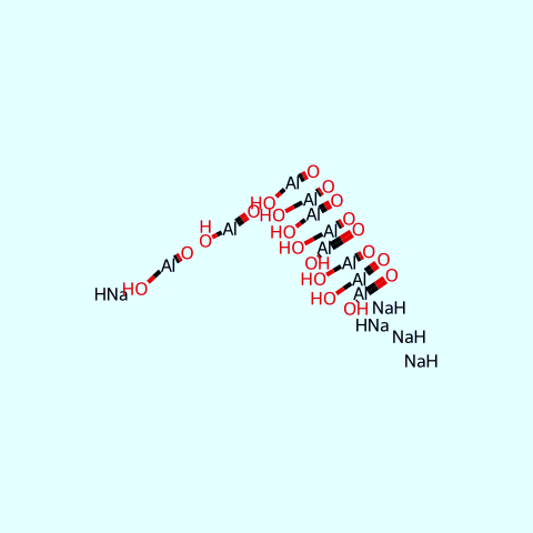 [NaH].[NaH].[NaH].[NaH].[NaH].[O]=[Al][OH].[O]=[Al][OH].[O]=[Al][OH].[O]=[Al][OH].[O]=[Al][OH].[O]=[Al][OH].[O]=[Al][OH].[O]=[Al][OH].[O]=[Al][OH].[O]=[Al][OH]